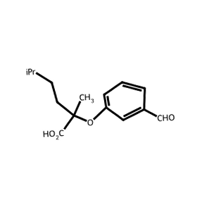 CC(C)CCC(C)(Oc1cccc(C=O)c1)C(=O)O